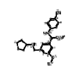 CCOc1cc(CNC2CCCC2)cc(C(Nc2ccc(C#N)cc2)C(=O)O)c1